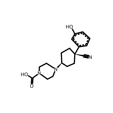 N#C[C@]1(c2cccc(O)c2)CC[C@H](N2CCN(C(=O)O)CC2)CC1